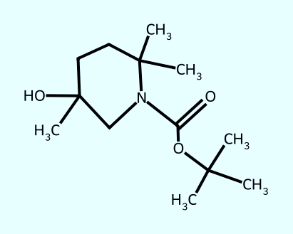 CC1(O)CCC(C)(C)N(C(=O)OC(C)(C)C)C1